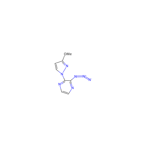 COc1ccn(-c2nccnc2N=[N+]=[N-])n1